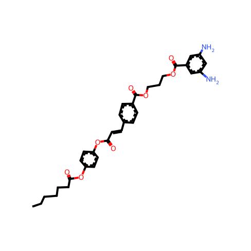 CCCCCCC(=O)Oc1ccc(OC(=O)/C=C/c2ccc(C(=O)OCCCOC(=O)c3cc(N)cc(N)c3)cc2)cc1